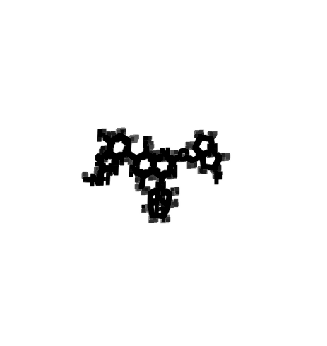 CNc1nc2c(-c3nc(C)c4c(N5CC6CCC(C5)N6)nc(OC[C@@]56CCCN5C[C@H](F)C6)nc4c3F)ccc(F)c2s1